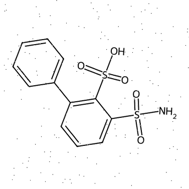 NS(=O)(=O)c1cccc(-c2ccccc2)c1S(=O)(=O)O